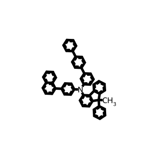 CC1(c2ccccc2)c2ccccc2-c2c(N(c3ccc(-c4cccc5ccccc45)cc3)c3cccc(-c4ccc(-c5ccccc5)cc4)c3)cccc21